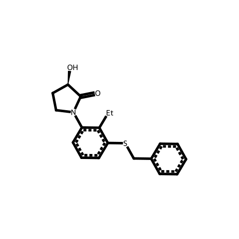 CCc1c(SCc2ccccc2)cccc1N1CC[C@@H](O)C1=O